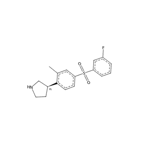 Cc1cc(S(=O)(=O)c2cccc(F)c2)ccc1[C@H]1CCNC1